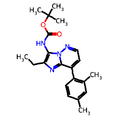 CCc1nc2c(-c3ccc(C)cc3C)ccnn2c1NC(=O)OC(C)(C)C